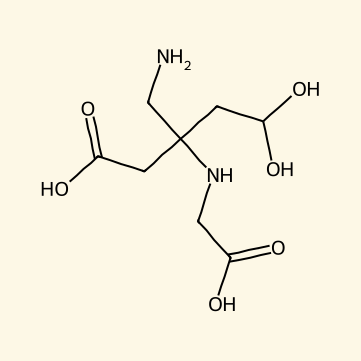 NCC(CC(=O)O)(CC(O)O)NCC(=O)O